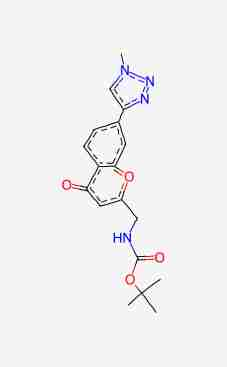 Cn1cc(-c2ccc3c(=O)cc(CNC(=O)OC(C)(C)C)oc3c2)nn1